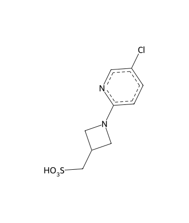 O=S(=O)(O)CC1CN(c2ccc(Cl)cn2)C1